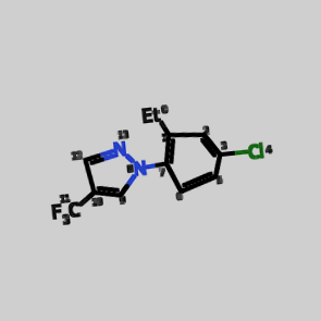 CCc1cc(Cl)ccc1-n1cc(C(F)(F)F)cn1